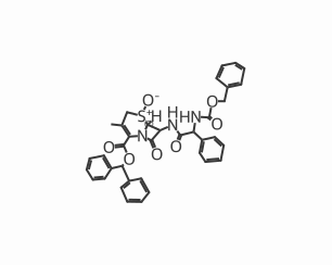 CC1=C(C(=O)OC(c2ccccc2)c2ccccc2)N2C(=O)C(NC(=O)C(NC(=O)OCc3ccccc3)c3ccccc3)[C@H]2[S+]([O-])C1